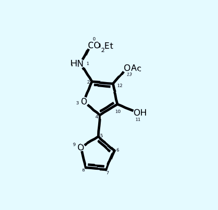 CCOC(=O)Nc1oc(-c2ccco2)c(O)c1OC(C)=O